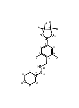 Cc1cc(B2OC(C)(C)C(C)(C)O2)cc(C)c1CNSN1CCOCC1